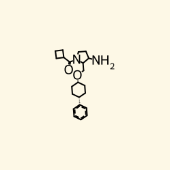 NC1CCN(C(=O)C2CCC2)C1CO[C@H]1CC[C@@H](c2ccccc2)CC1